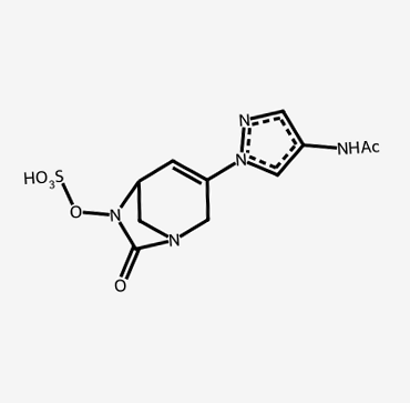 CC(=O)Nc1cnn(C2=CC3CN(C2)C(=O)N3OS(=O)(=O)O)c1